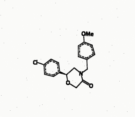 COc1ccc(CN2C[C@H](c3ccc(Cl)cc3)OCC2=O)cc1